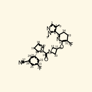 Cc1cnn(C)c1C1=NC(OC2CN(C(=O)N3N=CC[C@H]3c3cc(F)cc(C#N)c3)C2)=C(F)CC1